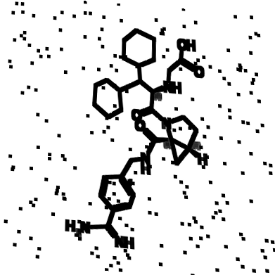 N=C(N)c1ccc(CNC(=O)[C@]23C[C@H]2CCN3C(=O)[C@H](NCC(=O)O)C(C2CCCCC2)C2CCCCC2)cc1